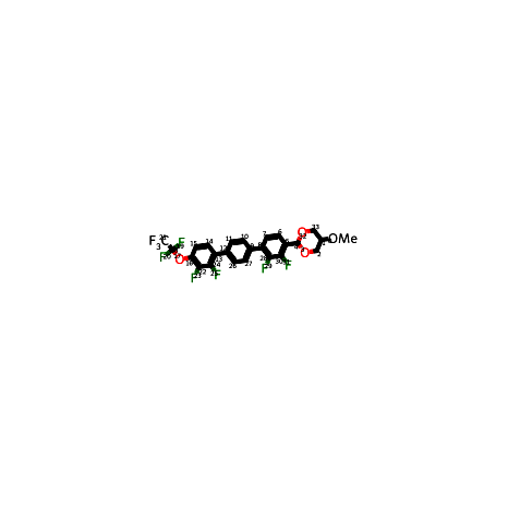 COC1COC(c2ccc(-c3ccc(-c4ccc(OC(F)(F)C(F)(F)F)c(F)c4F)cc3)c(F)c2F)OC1